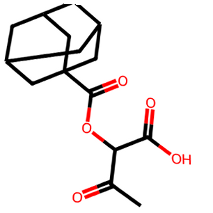 CC(=O)C(OC(=O)C12CC3CC(CC(C3)C1)C2)C(=O)O